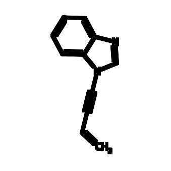 C=CC#Cn1cnc2ccccc21